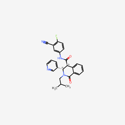 CC(C)CN1C(=O)c2ccccc2[C@H](C(=O)Nc2ccc(F)c(C#N)c2)[C@H]1c1cccnc1